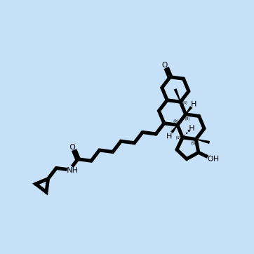 C[C@]12CCC(=O)CC1CC(CCCCCCCC(=O)NCC1CC1)[C@@H]1[C@H]2CC[C@]2(C)C(O)CC[C@@H]12